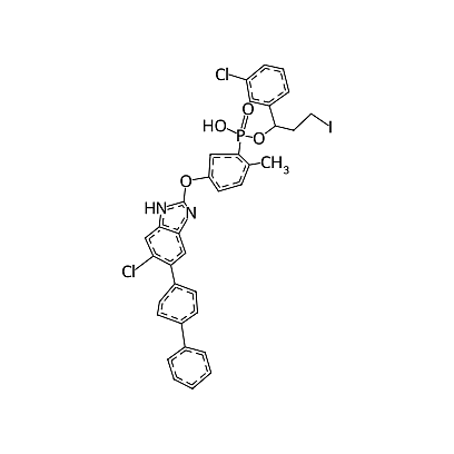 Cc1ccc(Oc2nc3cc(-c4ccc(-c5ccccc5)cc4)c(Cl)cc3[nH]2)cc1P(=O)(O)OC(CCI)c1cccc(Cl)c1